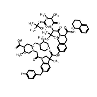 CC1COCCN1C[C@H]1CN(C(=O)O)[C@H](C)CN1CC(=O)N1CC(C)(C(=O)Nc2ccc3c(c2)CN(C(=O)C(NC(=O)C(C)N(C)C(=O)OC(C)(C)C)C(C)(C)C)C(C(=O)N[C@@H]2CCCc4ccccc42)C3)c2ccc(Cc3ccc(F)cc3)cc21